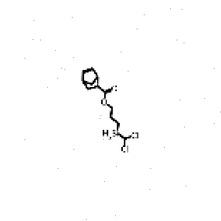 O=C(OCCC[SiH2]C(Cl)Cl)C1CC2C=CC1C2